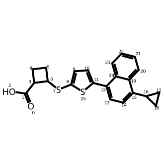 O=C(O)C1CCC1Sc1ccc(-c2ccc(C3CC3)c3ccccc23)s1